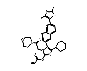 C=CC(=O)Oc1nc(C2CCCCC2)c(-c2ccc3nc(-c4sc(C)nc4C)ccc3c2)n1CC(=O)N1CCOCC1